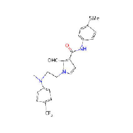 CSc1ccc(NC(=O)c2ccn(CCN(C)c3ccc(C(F)(F)F)cc3)c2C=O)cc1